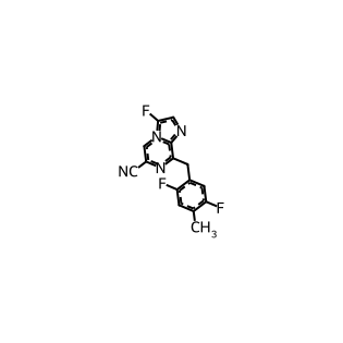 Cc1cc(F)c(Cc2nc(C#N)cn3c(F)cnc23)cc1F